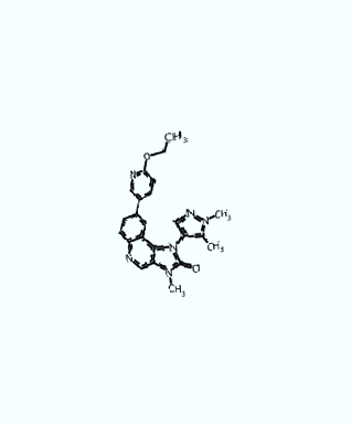 CCOc1ccc(-c2ccc3ncc4c(c3c2)n(-c2cnn(C)c2C)c(=O)n4C)cn1